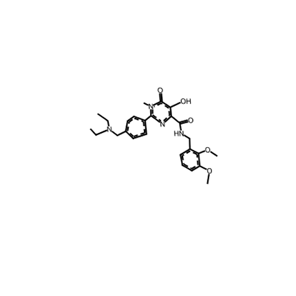 CCN(CC)Cc1ccc(-c2nc(C(=O)NCc3cccc(OC)c3OC)c(O)c(=O)n2C)cc1